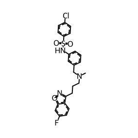 CN(CCCc1noc2cc(F)ccc12)Cc1cccc(NS(=O)(=O)c2ccc(Cl)cc2)c1